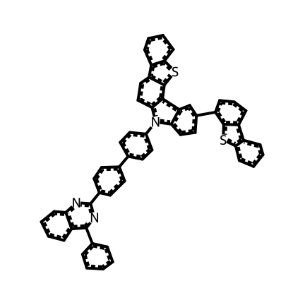 c1ccc(-c2nc(-c3ccc(-c4ccc(-n5c6ccc(-c7cccc8c7sc7ccccc78)cc6c6c7sc8ccccc8c7ccc65)cc4)cc3)nc3ccccc23)cc1